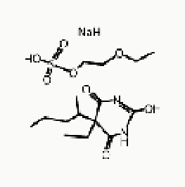 CCCC(C)C1(CC)C(=O)N=C(O)NC1=O.CCOCCOS(=O)(=O)O.[NaH]